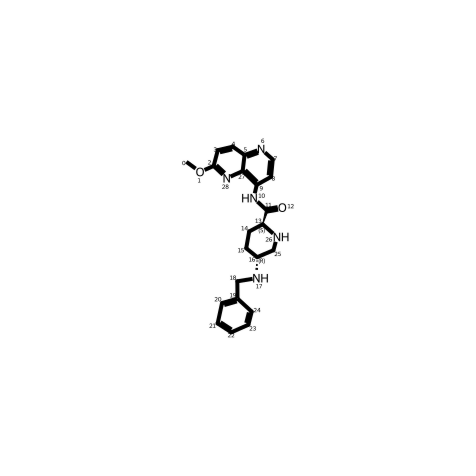 COc1ccc2nccc(NC(=O)[C@@H]3CC[C@@H](NCc4ccccc4)CN3)c2n1